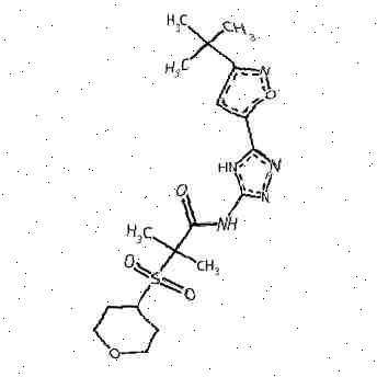 CC(C)(C)c1cc(-c2nnc(NC(=O)C(C)(C)S(=O)(=O)C3CCOCC3)[nH]2)on1